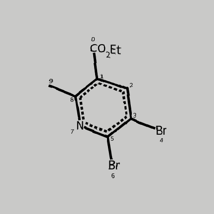 CCOC(=O)c1cc(Br)c(Br)nc1C